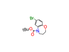 CC(C)(C)OC(=O)N1CCCOc2ccc(Br)cc21